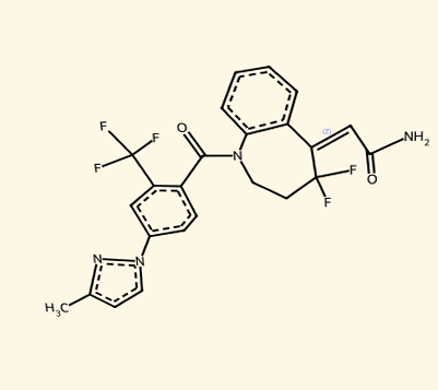 Cc1ccn(-c2ccc(C(=O)N3CCC(F)(F)/C(=C\C(N)=O)c4ccccc43)c(C(F)(F)F)c2)n1